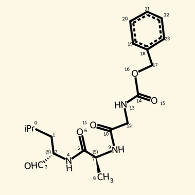 CC(C)C[C@@H](C=O)NC(=O)[C@H](C)NC(=O)CNC(=O)OCc1ccccc1